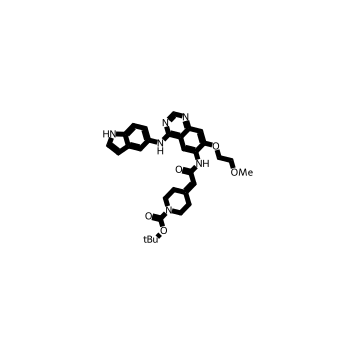 COCCOc1cc2ncnc(Nc3ccc4[nH]ccc4c3)c2cc1NC(=O)C=C1CCN(C(=O)OC(C)(C)C)CC1